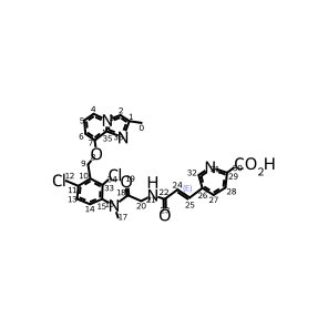 Cc1cn2cccc(OCc3c(Cl)ccc(N(C)C(=O)CNC(=O)/C=C/c4ccc(C(=O)O)nc4)c3Cl)c2n1